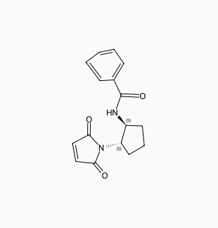 O=C(N[C@H]1CCC[C@@H]1N1C(=O)C=CC1=O)c1ccccc1